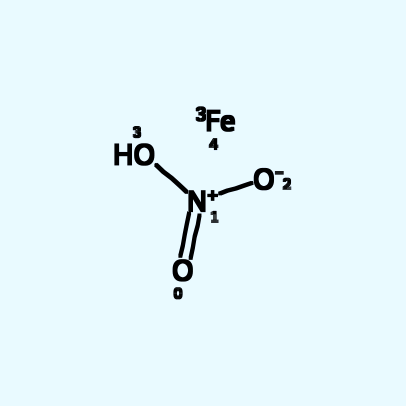 O=[N+]([O-])O.[3Fe]